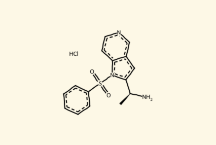 C[C@H](N)c1cc2cnccc2n1S(=O)(=O)c1ccccc1.Cl